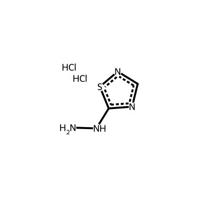 Cl.Cl.NNc1ncns1